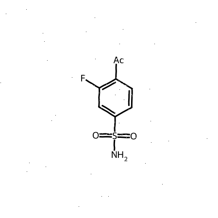 CC(=O)c1ccc(S(N)(=O)=O)cc1F